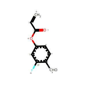 C=CC(=O)Oc1ccc(C=O)c(F)c1